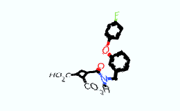 CN(Cc1cccc(Oc2ccc(F)cc2)c1)C(=O)C1CC(C(=O)O)C1C(=O)O